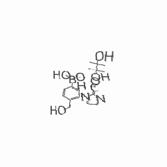 CC(C)(O)C(C)(C)O.O=C=C1N=CC=N1.OCc1ccc(B(O)O)cc1